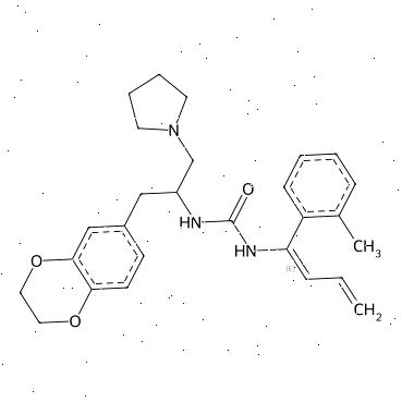 C=C/C=C(/NC(=O)NC(Cc1ccc2c(c1)OCCO2)CN1CCCC1)c1ccccc1C